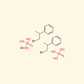 CC(C)CC(C)c1ccccc1.CC(C)CC(C)c1ccccc1.OP(O)(O)=S.OP(O)(O)=S.[Zn]